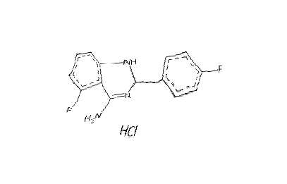 Cl.NC1=NC(c2ccc(F)cc2)Nc2cccc(F)c21